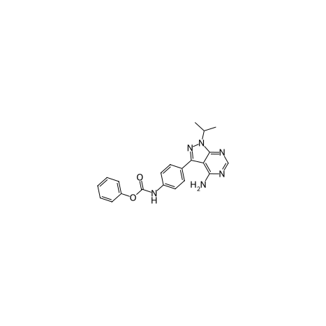 CC(C)n1nc(-c2ccc(NC(=O)Oc3ccccc3)cc2)c2c(N)ncnc21